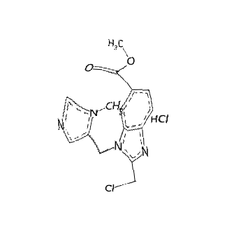 COC(=O)c1ccc2nc(CCl)n(Cc3cncn3C)c2c1.Cl